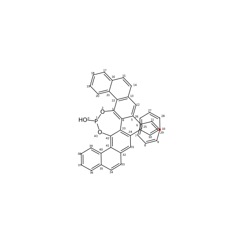 Op1oc2c(c(-c3ccccc3)cc3ccc4ccccc4c32)c2c(-c3ccccc3)cc3ccc4ccccc4c3c2o1